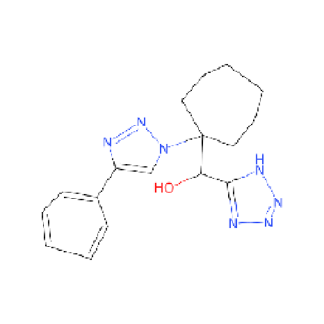 OC(c1nnn[nH]1)C1(n2cc(-c3ccccc3)nn2)CCCCCC1